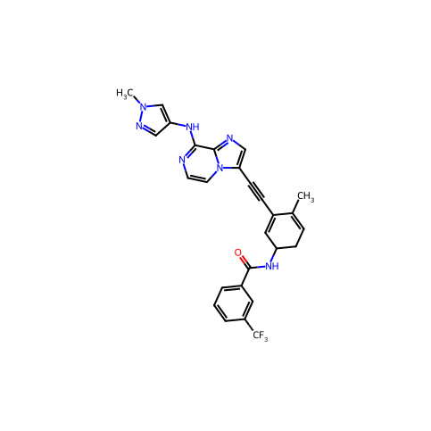 CC1=CCC(NC(=O)c2cccc(C(F)(F)F)c2)C=C1C#Cc1cnc2c(Nc3cnn(C)c3)nccn12